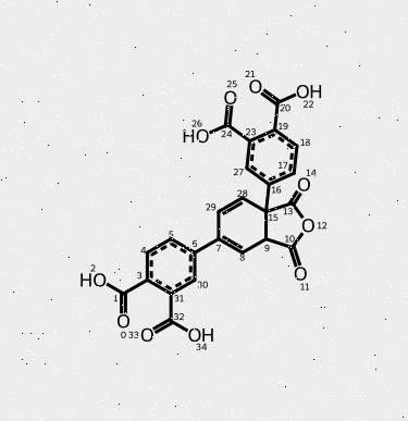 O=C(O)c1ccc(C2=CC3C(=O)OC(=O)C3(c3ccc(C(=O)O)c(C(=O)O)c3)C=C2)cc1C(=O)O